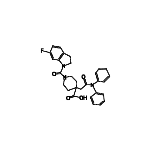 O=C(N1CCC(CC(=O)N(c2ccccc2)c2ccccc2)(C(=O)O)CC1)N1CCc2ccc(F)cc21